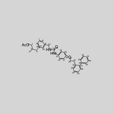 CC(=O)OCC(C)C[n+]1cccc(CNC(=O)Nc2ccc(OCCc3ccccc3-c3ccccc3)cc2)c1